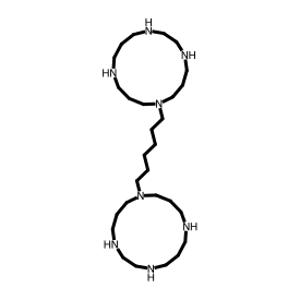 C(CCCN1CCCNCCCNCCNCCC1)CCN1CCCNCCCNCCNCCC1